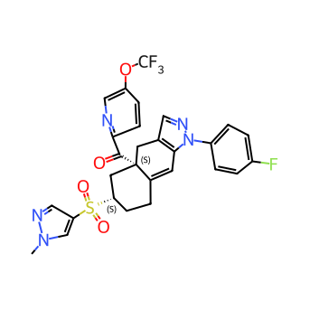 Cn1cc(S(=O)(=O)[C@H]2CCC3=Cc4c(cnn4-c4ccc(F)cc4)C[C@]3(C(=O)c3ccc(OC(F)(F)F)cn3)C2)cn1